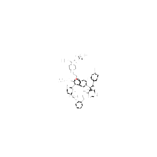 COc1ccccc1-c1nccc(COc2ccccc2C[C@@H](Oc2ncnc3sc(-c4ccc(F)cc4)c(-c4c(C)cc(OCCN5CC[N+](C)(COP(=O)([O-])O)CC5)cc4C)c23)C(=O)O)n1